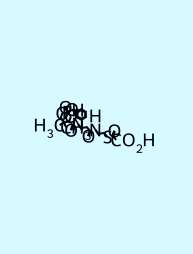 CC1(C)COP(=O)(Oc2ccccc2)O[C@H]1C(=O)NCCC(=O)NCCSC(=O)C(=O)O